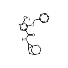 Cn1ncc(C(=O)NC2C3CC4CCCC32C4)c1OCc1ccccc1